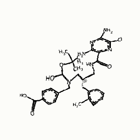 Cc1ccccc1C[C@@H](CNC(=O)c1nc(Cl)c(N)nc1N)CN(Cc1ccc(C(=O)O)cc1)C(O)OC(C)(C)C